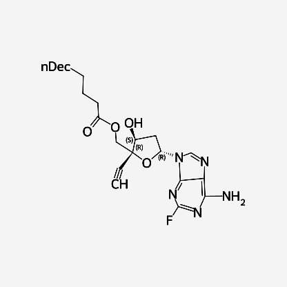 C#C[C@]1(COC(=O)CCCCCCCCCCCCC)O[C@@H](n2cnc3c(N)nc(F)nc32)C[C@@H]1O